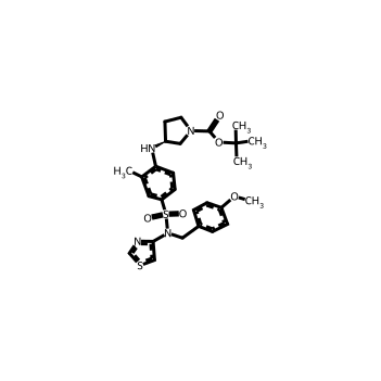 COc1ccc(CN(c2cscn2)S(=O)(=O)c2ccc(N[C@H]3CCN(C(=O)OC(C)(C)C)C3)c(C)c2)cc1